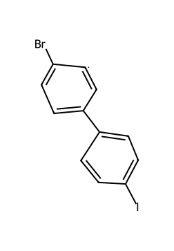 Brc1[c]cc(-c2ccc(I)cc2)cc1